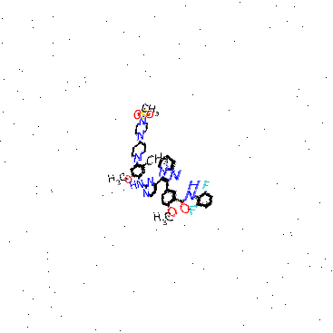 COc1cc(N2CCC(N3CCN(S(C)(=O)=O)CC3)CC2)c(C)cc1Nc1nccc(-c2c(-c3ccc(OC)c(C(=O)Nc4c(F)cccc4F)c3)nc3ccccn23)n1